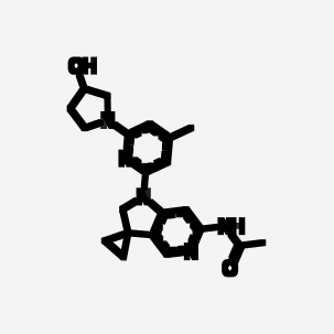 CC(=O)Nc1cc2c(cn1)C1(CC1)CN2c1cc(C)cc(N2CCC(O)C2)n1